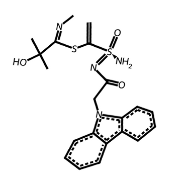 C=C(S/C(=N\C)C(C)(C)O)[S@](N)(=O)=NC(=O)Cn1c2ccccc2c2ccccc21